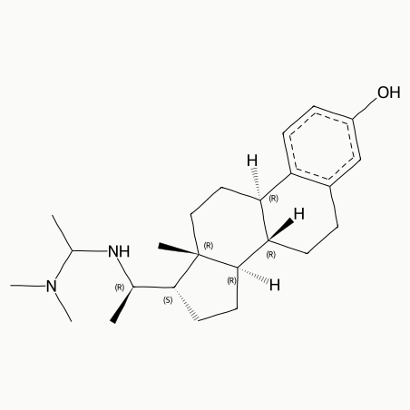 CC(N[C@H](C)[C@H]1CC[C@@H]2[C@H]3CCc4cc(O)ccc4[C@@H]3CC[C@]21C)N(C)C